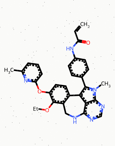 C=CC(=O)Nc1ccc(-c2c3c4c(ncnc4n2C)NCc2c-3ccc(Oc3cccc(C)n3)c2OCC)cc1